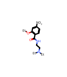 CCOc1cc([N+](=O)[O-])ccc1C(=O)NCCN(CC)CC